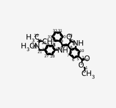 CCOC(=O)c1ccc2c(c1)NC(=O)C2=C(Nc1ccc(CN(C)C(C)C)cc1)c1ccccc1